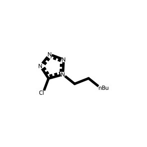 CCCCCCn1nnnc1Cl